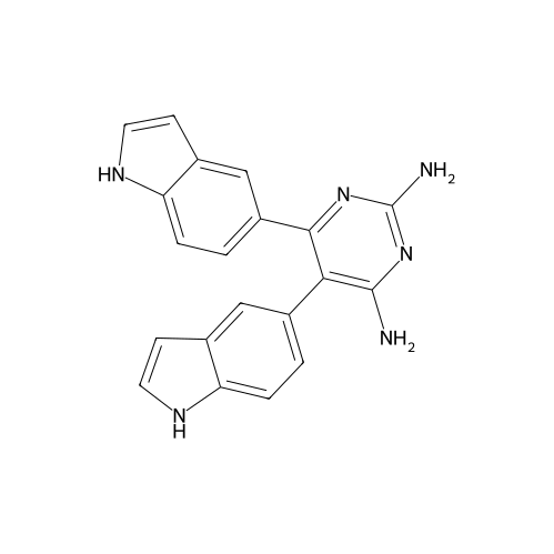 Nc1nc(N)c(-c2ccc3[nH]ccc3c2)c(-c2ccc3[nH]ccc3c2)n1